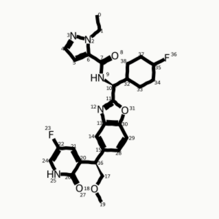 CCn1nccc1C(=O)N[C@H](c1nc2cc([C@@H](COC)c3cc(F)c[nH]c3=O)ccc2o1)C1CCC(F)CC1